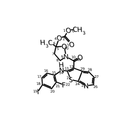 COC(=O)OC1(C)CCN(C(=O)c2c(Nc3ccc(I)cc3F)sc3ncccc23)O1